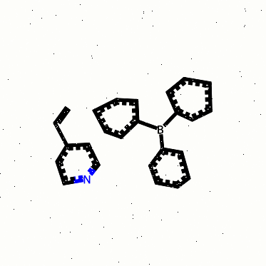 C=Cc1ccncc1.c1ccc(B(c2ccccc2)c2ccccc2)cc1